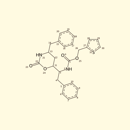 O=C(NC(Cc1ccccc1)C1CC(Cc2ccccc2)NC(=O)O1)OCc1cccs1